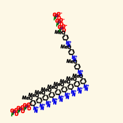 COc1ccc([N+]#N)cc1.COc1ccc([N+]#N)cc1.COc1ccc([N+]#N)cc1.COc1ccc([N+]#N)cc1.COc1ccc([N+]#N)cc1.COc1ccc([N+]#N)cc1.COc1ccc([N+]#N)cc1.COc1ccc([N+]#N)cc1.COc1ccc([N+]#N)cc1.COc1ccc([N+]#N)cc1.COc1ccc([N+]#N)cc1.COc1ccc([N+]#N)cc1.O=P([O-])([O-])F.O=P([O-])([O-])F.O=P([O-])([O-])F.O=P([O-])([O-])F.O=P([O-])([O-])F.O=P([O-])([O-])F